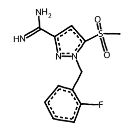 CS(=O)(=O)c1cc(C(=N)N)nn1Cc1ccccc1F